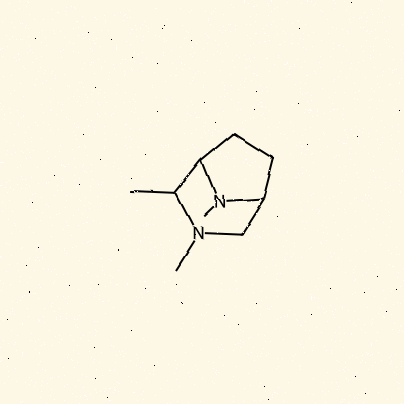 CC1C2CCC(CN1C)N2C